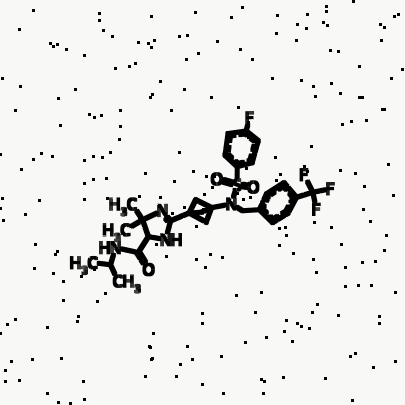 CC(C)NC(=O)C1NC(C23CC(N(Cc4ccc(C(F)(F)F)cc4)S(=O)(=O)c4ccc(F)cc4)(C2)C3)=NC1(C)C